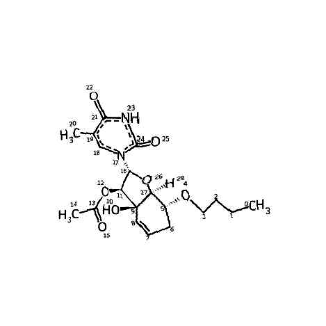 CCCCO[C@@H]1CC=C[C@]2(O)[C@@H](OC(C)=O)[C@H](n3cc(C)c(=O)[nH]c3=O)O[C@@H]12